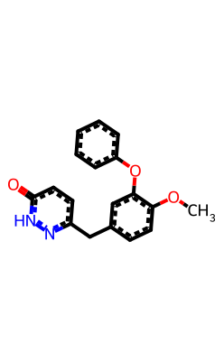 COc1ccc(Cc2ccc(=O)[nH]n2)cc1Oc1ccccc1